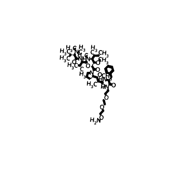 CC[C@H](C)[C@@H]([C@@H](CC(=O)N1CCC[C@H]1[C@H](OC)[C@@H](C)C(=O)N[C@@H](Cc1ccccc1)C(=O)NCCOCCOCCON)OC)N(C)C(=O)C(NC(=O)[C@H](C(C)C)N(C)C)C(C)C